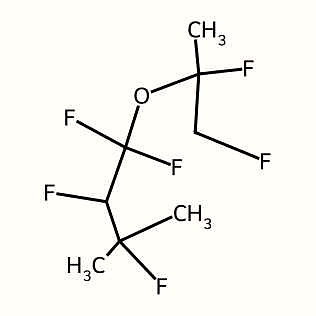 CC(F)(CF)OC(F)(F)C(F)C(C)(C)F